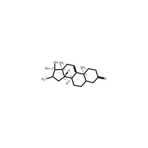 CC(=O)[C@@]1(O)C(C)C[C@H]2[C@@H]3CCC4CC(=O)CC[C@]4(C)C3=CC[C@@]21C